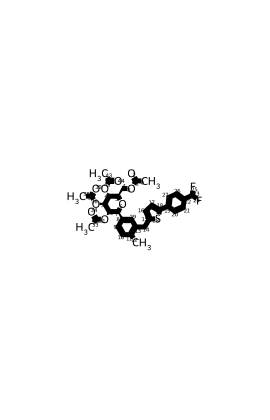 CC(=O)OC[C@H]1O[C@@H](c2ccc(C)c(Cc3ccc(-c4ccc(C(F)F)cc4)s3)c2)[C@H](OC(C)=O)[C@@H](OC(C)=O)[C@@H]1OC(C)=O